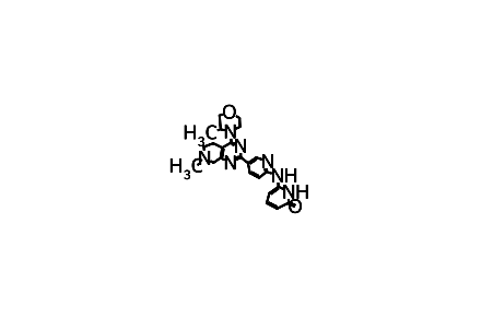 C[C@H]1COCCN1c1nc(-c2ccc(Nc3cccc(=O)[nH]3)nc2)nc2c1CCN(C)C2